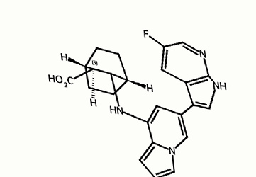 O=C(O)[C@@H]1C(Nc2cc(-c3c[nH]c4ncc(F)cc34)cn3cccc23)[C@H]2CC[C@@H]1CC2